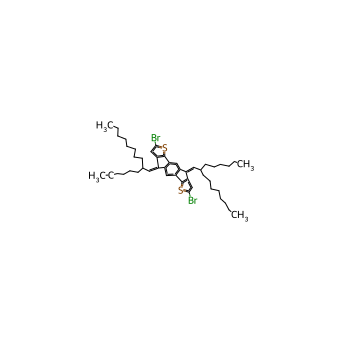 CCCCCCCCC(/C=C1/c2cc3c(cc2-c2sc(Br)cc21)/C(=C/C(CCCCCC)CCCCCCCC)c1cc(Br)sc1-3)CCCCCC